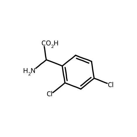 NC(C(=O)O)c1ccc(Cl)cc1Cl